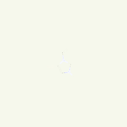 C=CN1C=CN(C)C1.O